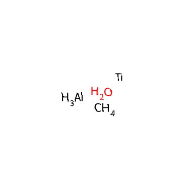 C.O.[AlH3].[Ti]